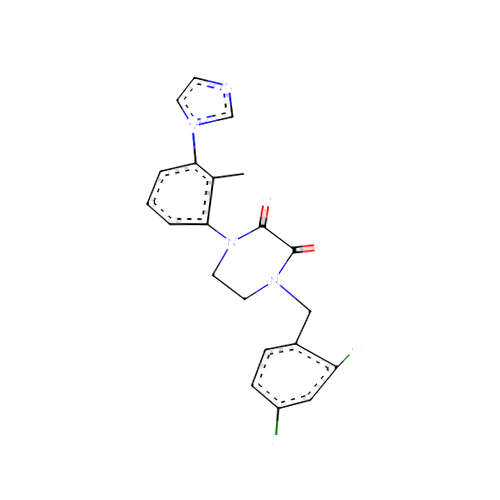 Cc1c(N2CCN(Cc3ccc(F)cc3Cl)C(=O)C2=O)cccc1-n1ccnc1